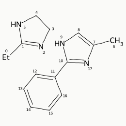 CCC1=NCCN1.Cc1c[nH]c(-c2ccccc2)n1